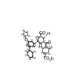 CCOC(=O)N1CCN(C(=O)[C@H](CCC(=O)O)NC(=O)c2cc(OC3CCCC3)nc(-c3ccccc3)n2)C(C)C1